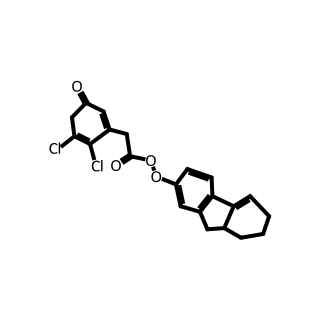 O=C1C=C(CC(=O)OOc2ccc3c(c2)CC2CCCC=C32)C(Cl)=C(Cl)C1